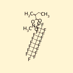 C=C(CC)C(=O)ON(C)S(=O)(=O)C(F)(F)C(F)(F)C(F)(F)C(F)(F)C(F)(F)C(F)(F)C(F)(F)C(F)(F)F